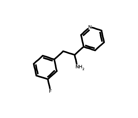 NC(Cc1cccc(F)c1)c1cccnc1